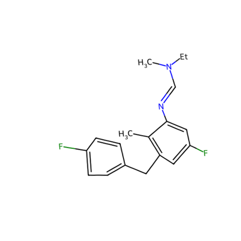 CCN(C)/C=N/c1cc(F)cc(Cc2ccc(F)cc2)c1C